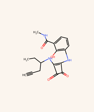 C#CCC(CC)Nc1c(Nc2cccc(C(=O)NC)c2O)c(=O)c1=O